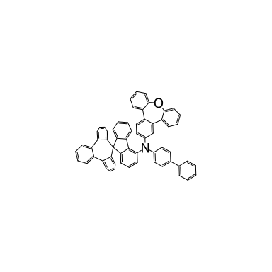 c1ccc(-c2ccc(N(c3ccc4c(c3)-c3ccccc3Oc3ccccc3-4)c3cccc4c3-c3ccccc3C43c4ccccc4-c4ccccc4-c4ccccc43)cc2)cc1